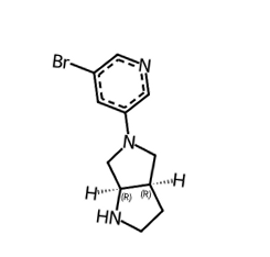 Brc1cncc(N2C[C@H]3CCN[C@H]3C2)c1